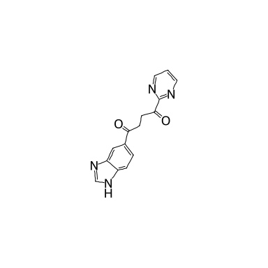 O=C(CCC(=O)c1ncccn1)c1ccc2[nH]cnc2c1